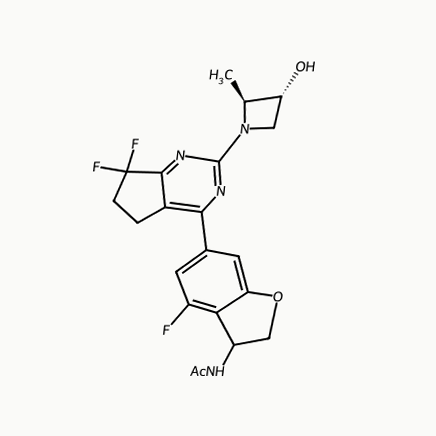 CC(=O)NC1COc2cc(-c3nc(N4C[C@@H](O)[C@@H]4C)nc4c3CCC4(F)F)cc(F)c21